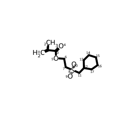 C=C(C)C(=O)OCCS(=O)(=O)CC1CCCCC1